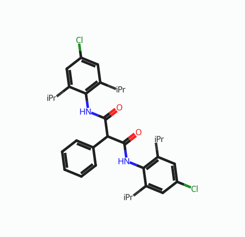 CC(C)c1cc(Cl)cc(C(C)C)c1NC(=O)C(C(=O)Nc1c(C(C)C)cc(Cl)cc1C(C)C)c1ccccc1